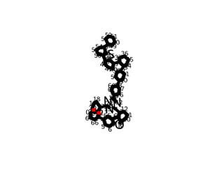 c1ccc(-c2ccc3oc4cccc(-c5nc(-c6ccccc6)nc(-c6ccc(-c7ccc(-c8ccccc8-c8cccc9c8sc8c(-c%10ccccc%10)cccc89)cc7)cc6)n5)c4c3c2)cc1